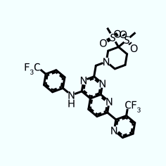 CS(=O)(=O)C1(S(C)(=O)=O)CCCN(Cc2nc(Nc3ccc(C(F)(F)F)cc3)c3ccc(-c4ncccc4C(F)(F)F)nc3n2)C1